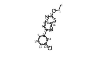 CCOc1nn2cc(-c3cccc(Cl)c3)nc2s1